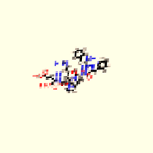 CC1CC(NC(=O)C(Cc2ccccc2)NC(=O)C(N)Cc2ccccc2)C(=O)N1C(CCCCN)C(=O)N1C2CC1CN(CC(=O)NC(CCC(=O)O)C(=O)O)C2